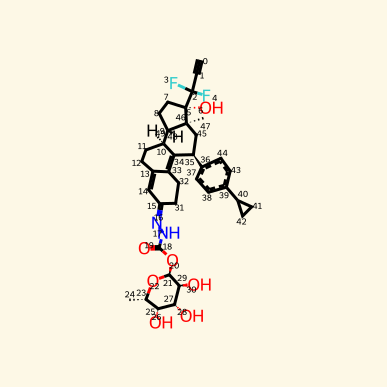 C#CC(F)(F)[C@]1(O)CC[C@H]2[C@@H]3CCC4=C/C(=N/NC(=O)O[C@@H]5O[C@@H](C)[C@@H](O)[C@@H](O)[C@@H]5O)CCC4=C3[C@H](c3ccc(C4CC4)cc3)C[C@@]21C